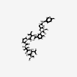 Cc1ccc(Nc2ncc3c(n2)N(C)C(=O)N(c2cc(C(=O)NC(C(=O)N4CCC[C@@H]4C(=O)NC(C)(C)C(=O)NC(C(=O)N(C)C)C(C)C)C(C)C)ccc2C)C3)cn1